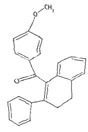 COc1ccc(C(=O)C2=C(c3ccccc3)CCc3ccccc32)cc1